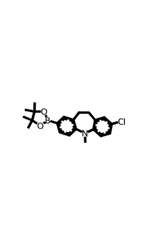 CN1c2ccc(Cl)cc2CCc2cc(B3OC(C)(C)C(C)(C)O3)ccc21